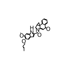 COc1cc2[nH]c(C(=O)N3CC4CC45C3=CC(=O)c3ccccc35)cc2cc1OCCI